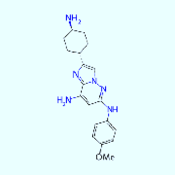 COc1ccc(Nc2cc(N)c3nc([C@H]4CC[C@H](N)CC4)cn3n2)cc1